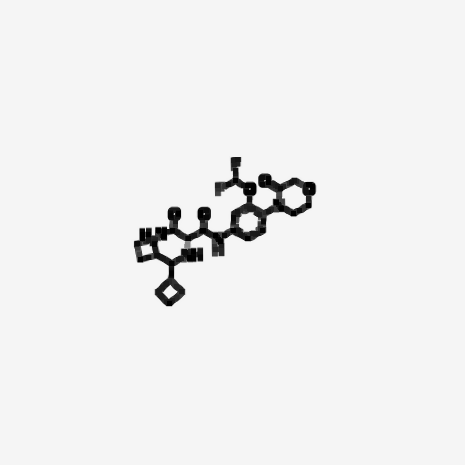 NC(=O)[C@@H](NC(C1CCC1)C1CCC1)C(=O)Nc1ccc(N2CCOCC2=O)c(OC(F)F)c1